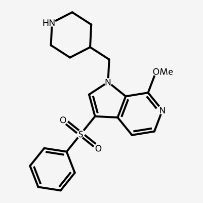 COc1nccc2c(S(=O)(=O)c3ccccc3)cn(CC3CCNCC3)c12